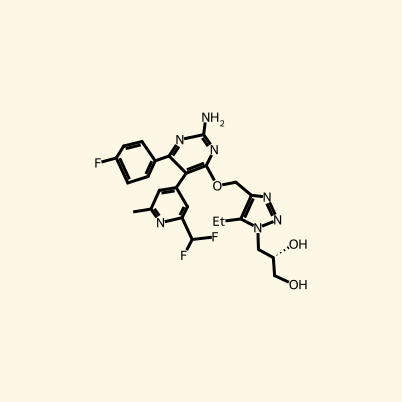 CCc1c(COc2nc(N)nc(-c3ccc(F)cc3)c2-c2cc(C)nc(C(F)F)c2)nnn1C[C@H](O)CO